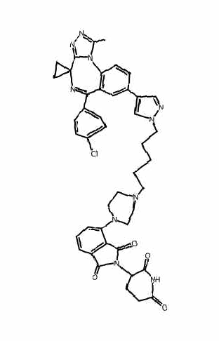 Cc1nnc2n1-c1ccc(-c3cnn(CCCCCN4CCN(c5cccc6c5C(=O)N(C5CCC(=O)NC5=O)C6=O)CC4)c3)cc1C(c1ccc(Cl)cc1)=NC21CC1